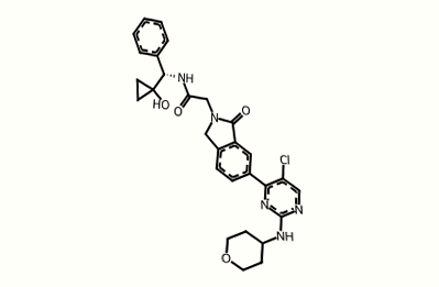 O=C(CN1Cc2ccc(-c3nc(NC4CCOCC4)ncc3Cl)cc2C1=O)N[C@@H](c1ccccc1)C1(O)CC1